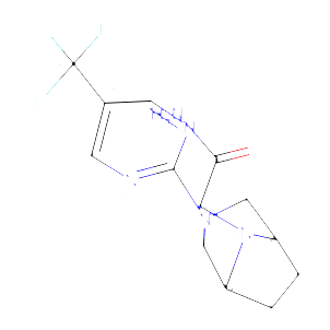 NC(=O)CN1C2CCC1CN(c1ncc(C(F)(F)F)cn1)C2